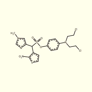 Cn1cnc(C(c2ccsc2[N+](=O)[O-])S(=O)(=O)Oc2ccc(N(CCCl)CCCl)cc2)c1